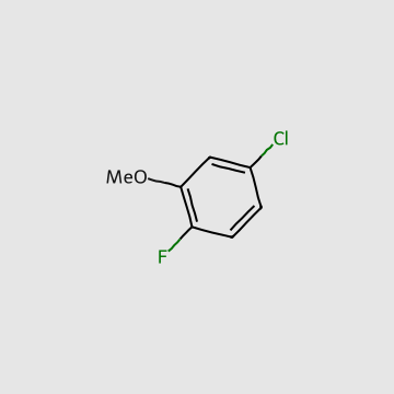 COc1cc(Cl)ccc1F